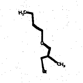 CCCCOCC(C)CBr